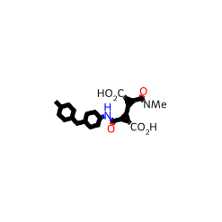 CNC(=O)C1C(C(=O)O)C1C1C(C(=O)O)C1C(=O)NC1CCC(CC2CCC(C)CC2)CC1